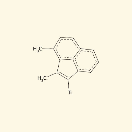 CC1=[C]([Ti])c2cccc3ccc(C)c1c23